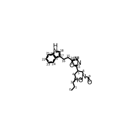 CCCCCC(CN(O)C=O)c1nnc(CCc2c[nH]c3ccccc23)o1